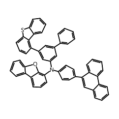 c1ccc(-c2cc(-c3cccc4sc5ccccc5c34)cc(N(c3ccc(-c4cc5ccccc5c5ccccc45)cc3)c3cccc4c3oc3ccccc34)c2)cc1